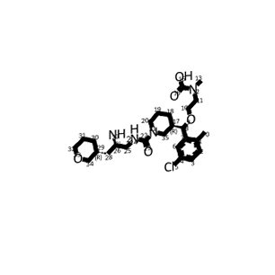 Cc1ccc(Cl)cc1C(OCCN(C)C(=O)O)[C@@H]1CCCN(C(=O)NC[C@H](N)C[C@H]2CCCOC2)C1